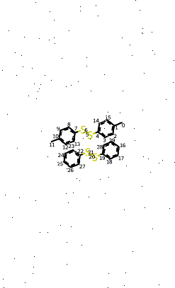 Cc1ccc(SSc2ccc(C)cc2)cc1.c1ccc(SSc2ccccc2)cc1